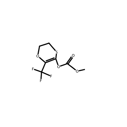 COC(=O)OC1=C(C(F)(F)F)OCCS1